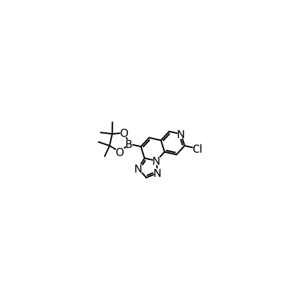 CC1(C)OB(c2cc3cnc(Cl)cc3n3ncnc23)OC1(C)C